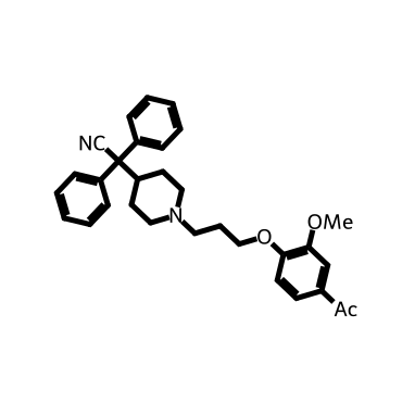 COc1cc(C(C)=O)ccc1OCCCN1CCC(C(C#N)(c2ccccc2)c2ccccc2)CC1